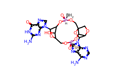 B[P@@]1(=O)OCC23COC(C(n4cnc5c(N)ncnc54)O2)C3O[P@](=O)(S)OCC2OC(n3cnc4c(=O)[nH]c(N)nc43)C(O1)C2O